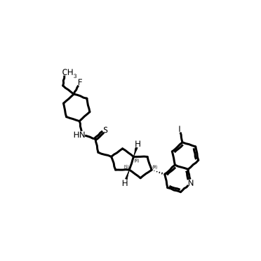 CCC1(F)CCC(NC(=S)CC2C[C@@H]3C[C@H](c4ccnc5ccc(I)cc45)C[C@@H]3C2)CC1